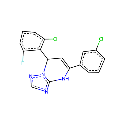 Fc1cccc(Cl)c1C1C=C(c2cccc(Cl)c2)Nc2ncnn21